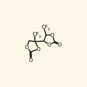 O=C1OC(C(F)(F)F)C(C2(C(F)(F)F)COC(=O)O2)O1